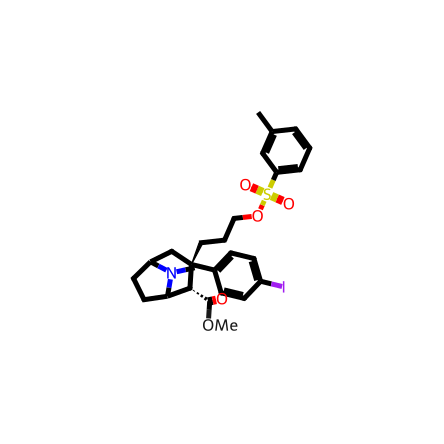 COC(=O)[C@@H]1C2CCC(C[C@]1(CCCOS(=O)(=O)c1cccc(C)c1)c1ccc(I)cc1)N2C